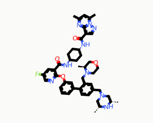 Cc1cc(C)n2ncc(C(=O)N[C@H]3CC[C@H](NC(=O)c4cc(F)cnc4Oc4cccc(-c5ccc(CN6C[C@@H](C)N[C@@H](C)C6)cc5CN5CCOC[C@@H]5C)c4)CC3)c2n1